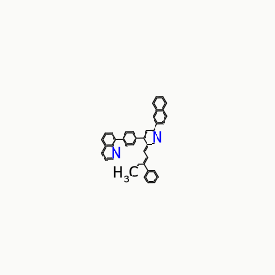 CC/C(=C\C=C1/CN=C(c2ccc3ccccc3c2)C=C1c1ccc(-c2cccc3cccnc23)cc1)c1ccccc1